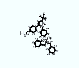 Cc1ccc(-c2cc(C(F)(F)F)nn2-c2ccc(S(=O)(=O)N(Cc3ccccc3)Cc3ccccc3)cc2)cc1